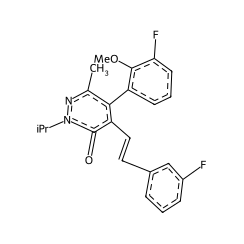 COc1c(F)cccc1-c1c(C)nn(C(C)C)c(=O)c1/C=C/c1cccc(F)c1